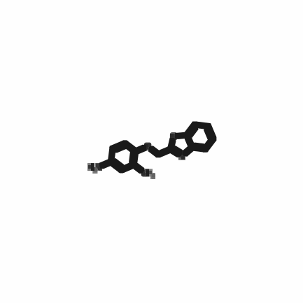 Cc1cc(N)ccc1OCc1nc2ccccc2o1